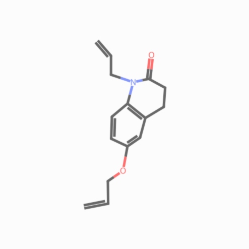 C=CCOc1ccc2c(c1)CCC(=O)N2CC=C